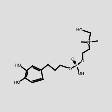 C[N+](C)(CO)CCOP(=O)(O)OCCCc1ccc(O)c(O)c1